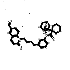 O=Cc1ccc2c(ccc(=O)n2CCCCc2cccc(OC(=O)C3([C@@H]4CN5CCC4CC5)CCCCC3)c2)c1